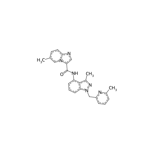 Cc1ccc2ncc(C(=O)Nc3cccc4c3c(C)nn4Cc3cccc(C)n3)n2c1